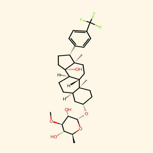 CO[C@H]1[C@H](O)[C@H](O[C@H]2CC[C@@]3(C)[C@H](CC[C@@H]4[C@@H]3CC[C@]3(C)[C@@H](c5ccc(C(F)(F)F)cc5)CC[C@]43O)C2)O[C@@H](C)[C@@H]1O